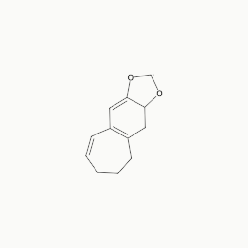 [CH]1OC2=CC3=C(CCCC=C3)CC2O1